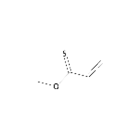 C=CC(=S)OC